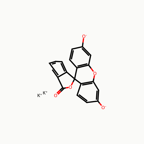 O=C1OC2(c3ccc([O-])cc3Oc3cc([O-])ccc32)c2ccccc21.[K+].[K+]